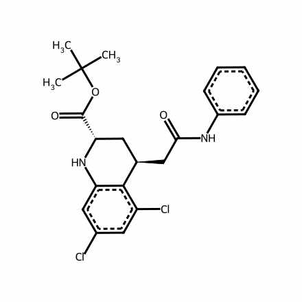 CC(C)(C)OC(=O)[C@@H]1C[C@@H](CC(=O)Nc2ccccc2)c2c(Cl)cc(Cl)cc2N1